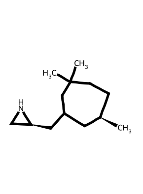 C[C@@H]1CCC(C)(C)CC(C[C@H]2CN2)C1